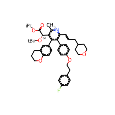 Cc1nc(C=CCC2CCOCC2)c(-c2ccc(OCCc3ccc(F)cc3)cc2)c(-c2ccc3c(c2)CCCO3)c1[C@H](OC(C)(C)C)C(=O)OC(C)C